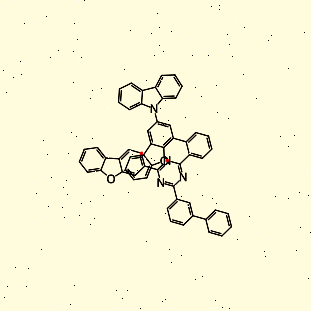 c1ccc(-c2cccc(-c3nc(-c4ccc5c(c4)oc4ccccc45)nc(-c4ccccc4-c4cc(-n5c6ccccc6c6ccccc65)cc5c4oc4ccccc45)n3)c2)cc1